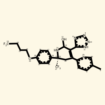 Cc1ccc(C2=C(c3nnn[nH]3)C(O)N[C@@](c3ccc(OCCCC(F)(F)F)cc3)(C(F)(F)F)C2)nc1